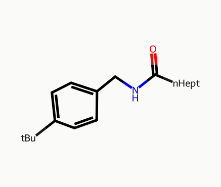 [CH2]CCCCCCC(=O)NCc1ccc(C(C)(C)C)cc1